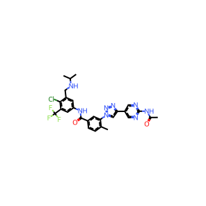 CC(=O)Nc1ncc(-c2cn(-c3cc(C(=O)Nc4cc(CNC(C)C)c(Cl)c(C(F)(F)F)c4)ccc3C)nn2)cn1